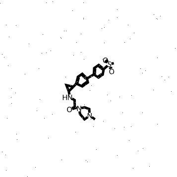 CN1CCN(C(=O)CNC2CC2c2ccc(-c3ccc(S(C)(=O)=O)cc3)cc2)CC1